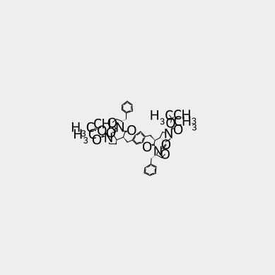 CC(C)(C)OC(=O)N1CC[C@H]([C@H](Cc2ccc(C[C@H](C(=O)N3C(=O)OC[C@@H]3Cc3ccccc3)[C@H]3CCN(C(=O)OC(C)(C)C)C3)cc2)C(=O)N2C(=O)OC[C@@H]2Cc2ccccc2)C1